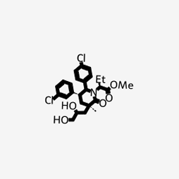 CC[C@@H](C(=O)OC)N1C(=O)[C@@](C)(CC(O)CO)C[C@H](c2cccc(Cl)c2)C1c1ccc(Cl)cc1